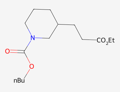 CCCCOC(=O)N1CCCC(CCC(=O)OCC)C1